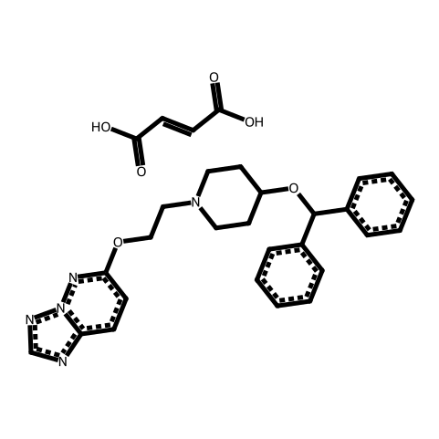 O=C(O)/C=C/C(=O)O.c1ccc(C(OC2CCN(CCOc3ccc4ncnn4n3)CC2)c2ccccc2)cc1